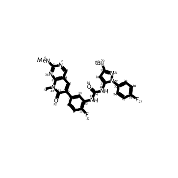 CNc1ncc2cc(-c3ccc(F)c(NC(=O)Nc4cc(C(C)(C)C)nn4-c4ccc(F)cc4)c3)c(=O)n(C)c2n1